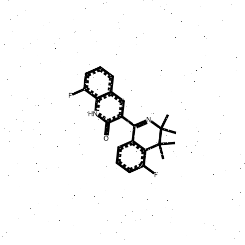 CC1(C)N=C(c2cc3cccc(F)c3[nH]c2=O)c2cccc(F)c2C1(C)C